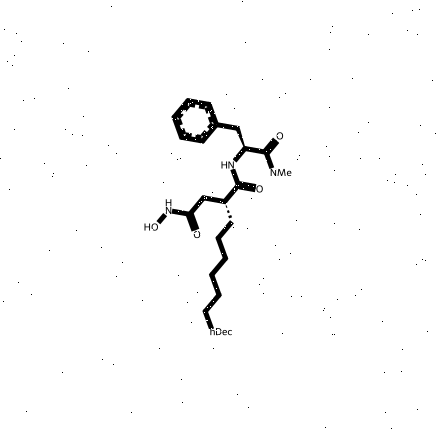 CCCCCCCCCCCCCCCC[C@H](CC(=O)NO)C(=O)N[C@@H](Cc1ccccc1)C(=O)NC